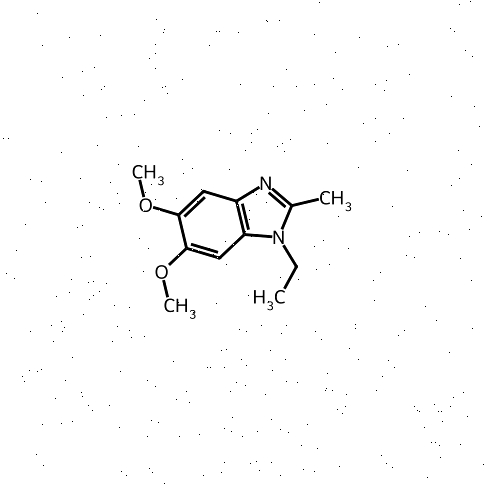 CCn1c(C)nc2cc(OC)c(OC)cc21